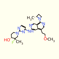 COCCc1cnc(N2CC[C@H]2C)c2cnc(Nc3ccnc(N4CC[C@@H](O)[C@@](C)(F)C4)n3)cc12